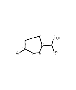 CCCC(C(=O)O)N1CCCN(C(C)=O)CC1